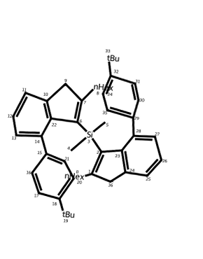 CCCCCCC1=C([Si](C)(C)C2=C(CCCCCC)[CH]c3cccc(-c4ccc(C(C)(C)C)cc4)c32)c2c(cccc2-c2ccc(C(C)(C)C)cc2)[CH]1